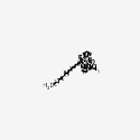 CCCCCCCCCCCCCCCCCN(C(C)=O)C(=O)S[C@H]1CCCO[C@H]1COC(=O)N(Cc1ccccn1)C(C)=O